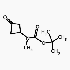 CN(C(=O)OC(C)(C)C)C1CC(=O)C1